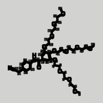 COCCOCCOCCOc1cc(C(=O)Nc2ccc(CC#N)cc2)cc(OCCOCCOCCOC)c1OCCOCCOCCOC